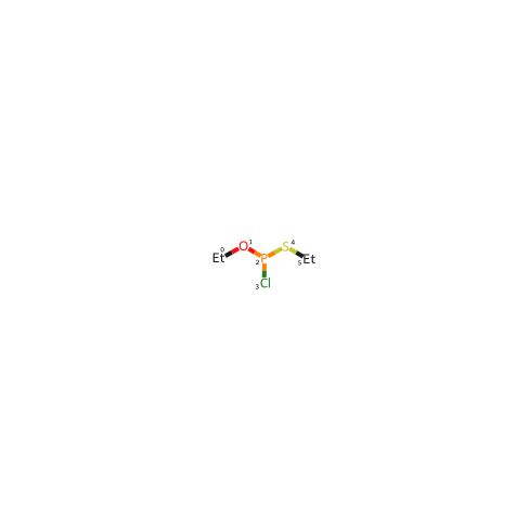 CCOP(Cl)SCC